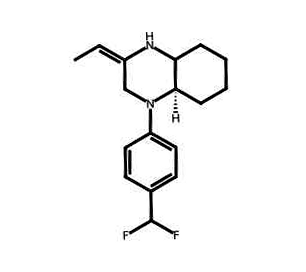 C/C=C1\CN(c2ccc(C(F)F)cc2)[C@@H]2CCCCC2N1